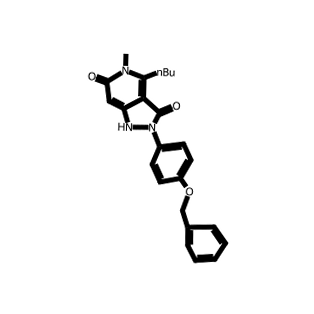 CCCCc1c2c(=O)n(-c3ccc(OCc4ccccc4)cc3)[nH]c2cc(=O)n1C